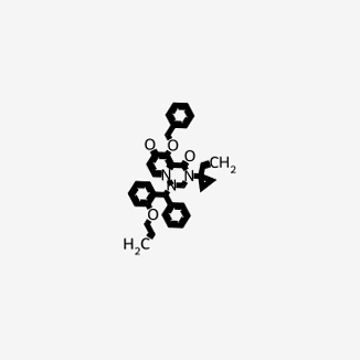 C=CCOc1ccccc1C(c1ccccc1)N1CN(C2(C=C)CC2)C(=O)c2c(OCc3ccccc3)c(=O)ccn21